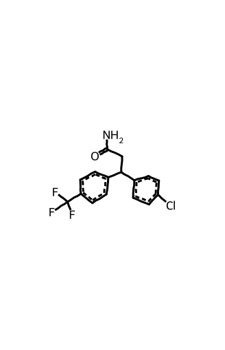 NC(=O)CC(c1ccc(Cl)cc1)c1ccc(C(F)(F)F)cc1